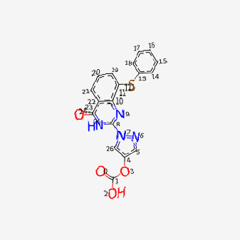 O=C(O)Oc1cnn(-c2nc3c(Sc4ccccc4)cccc3c(=O)[nH]2)c1